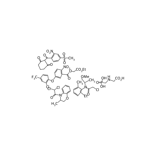 CC1COc2ccccc2N1C(=O)C(Cl)Cl.CCOC(=O)COC(=O)c1cc(Oc2ccc(C(F)(F)F)cc2Cl)ccc1[N+](=O)[O-].CCc1cccc(C)c1N(C(=O)CCl)C(C)COC.CS(=O)(=O)c1ccc(C(=O)C2C(=O)CCCC2=O)c([N+](=O)[O-])c1.O=C(O)CNCP(=O)(O)O